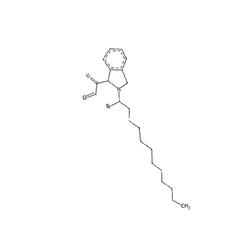 CCCCCCCCCCCC(Br)N1Cc2ccccc2C1C(=O)C=O